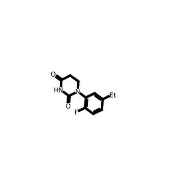 CCc1ccc(F)c(N2CCC(=O)NC2=O)c1